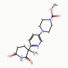 CC(C)(C)OC(=O)N1CCN(c2ccc(C3(C)CCC(=O)NC3=O)nc2)CC1